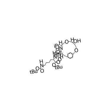 CC(C)[C@H]1COC[C@@H](O)CCOc2ccc(cc2)C[C@@H](NC(=O)NC(CCCCNC(=O)OC(C)(C)C)C(=O)OC(C)(C)C)C(=O)N1